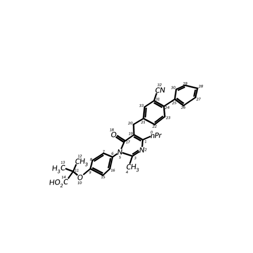 CCCc1nc(C)n(-c2ccc(OC(C)(C)C(=O)O)cc2)c(=O)c1Cc1ccc(-c2ccccc2)c(C#N)c1